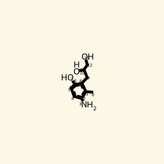 Cc1c(N)ccc(O)c1CC(O)CO